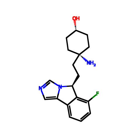 N[C@]1(CC[C@H]2c3c(F)cccc3-c3cncn32)CC[C@H](O)CC1